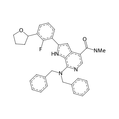 CNC(=O)c1cnc(N(Cc2ccccc2)Cc2ccccc2)c2[nH]c(-c3cccc(C4CCCO4)c3F)cc12